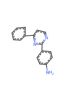 Nc1ccc(-c2nccc(-c3ccccc3)n2)cc1